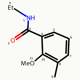 CCNC(=O)c1cccc(C)c1OC